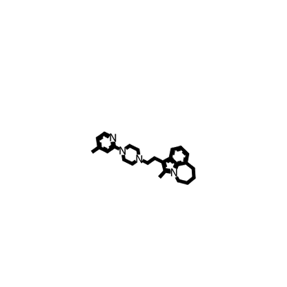 Cc1ccnc(N2CCN(CCc3c(C)n4c5c(cccc35)CCCC4)CC2)c1